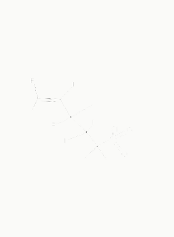 O=S(=O)(Cl)C(F)(F)C(F)(F)C(F)(F)C(F)=C(F)F